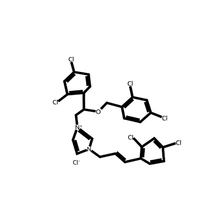 Clc1ccc(C=CCn2cc[n+](CC(OCc3ccc(Cl)cc3Cl)c3ccc(Cl)cc3Cl)c2)c(Cl)c1.[Cl-]